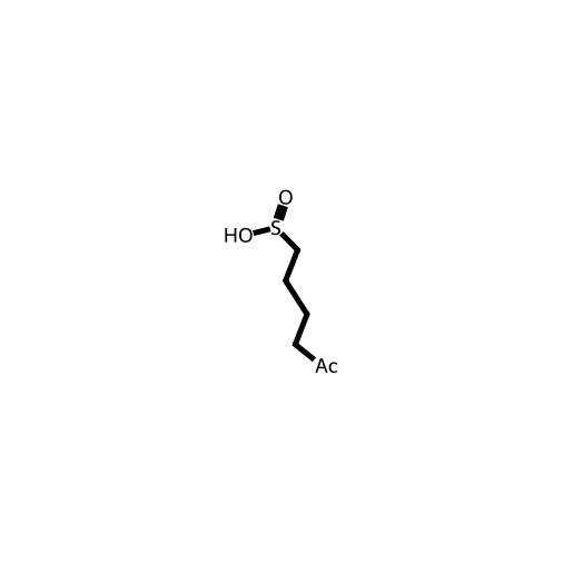 CC(=O)CCCCS(=O)O